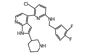 Fc1ccc(CNc2ccc(Cl)c(-c3ccnc4[nH]c(C5CCCNC5)cc34)n2)cc1F